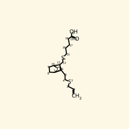 C=CCSCCC1C2CCC(O2)C1CSCCCCC(=O)O